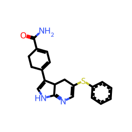 NC(=O)C1=CC=C(C2=CNC3=NC=C(Sc4ccccc4)CC23)CC1